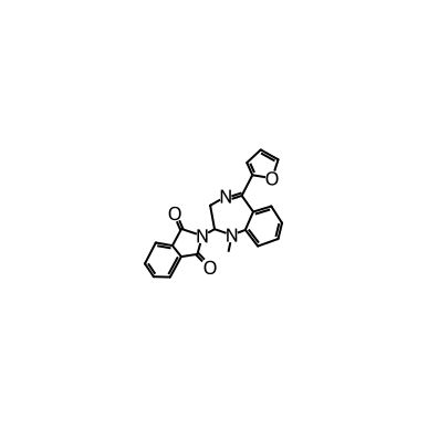 CN1c2ccccc2C(c2ccco2)=NCC1N1C(=O)c2ccccc2C1=O